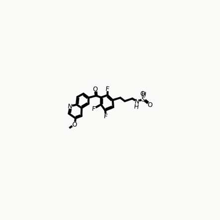 COc1cnc2ccc(C(=O)c3c(F)c(F)cc(CCCN[SH](=O)=O)c3F)cc2c1